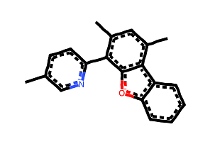 Cc1ccc(-c2c(C)cc(C)c3c2oc2ccccc23)nc1